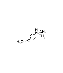 CCCO[C@H]1CC[C@@H](NC(C)C)CC1